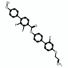 C=CCOc1ccc(-c2ccc(OC(=O)c3ccc(-c4ccc(OCC)cc4)c(F)c3F)cc2)c(F)c1